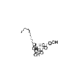 C=CC/C=C\C/C=C\CCCCCCCc1ccc(Cc2ccc(O)c(Cc3cccc(Cc4cccc(Cc5ccc(O)cc5)c4O)c3O)c2)c(O)c1